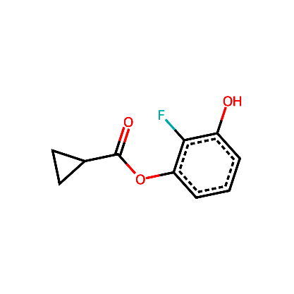 O=C(Oc1cccc(O)c1F)C1CC1